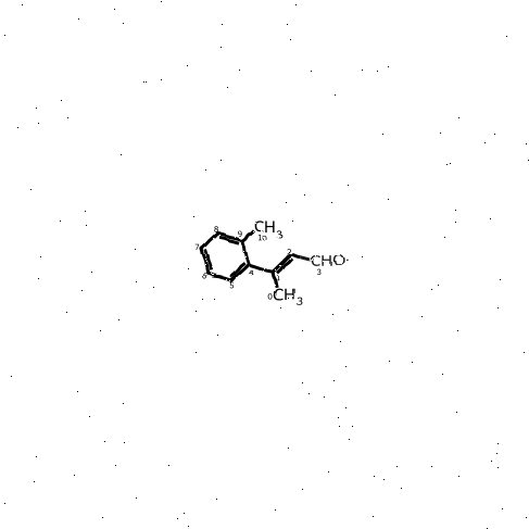 CC(=C[C]=O)c1ccccc1C